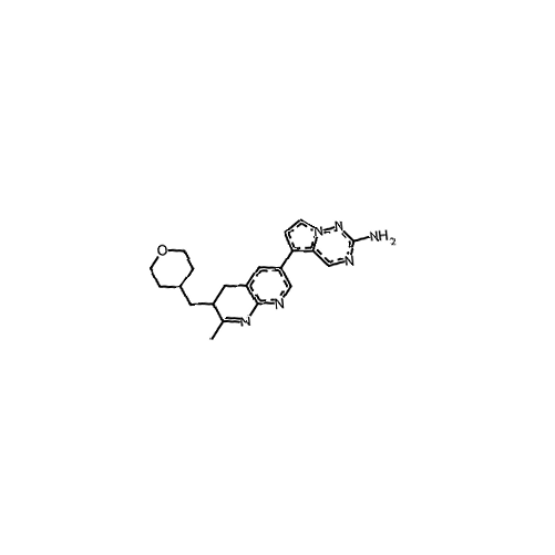 CC1=Nc2ncc(-c3ccn4nc(N)ncc34)cc2CC1CC1CCOCC1